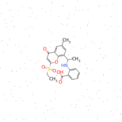 CCS(=O)(=O)c1cc(=O)c2cc(C)cc(C(C)Nc3ccccc3C(=O)O)c2o1